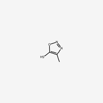 Cc1nnoc1S